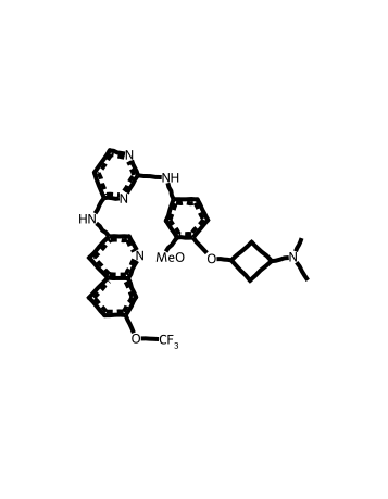 COc1cc(Nc2nccc(Nc3cnc4cc(OC(F)(F)F)ccc4c3)n2)ccc1OC1CC(N(C)C)C1